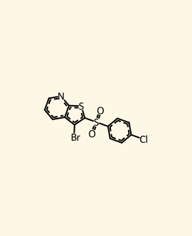 O=S(=O)(c1ccc(Cl)cc1)c1sc2ncccc2c1Br